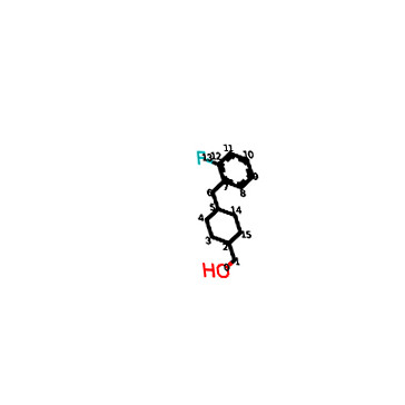 OCC1CCC(Cc2ccccc2F)CC1